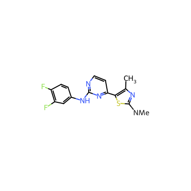 CNc1nc(C)c(-c2ccnc(Nc3ccc(F)c(F)c3)n2)s1